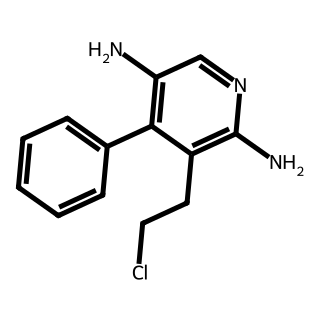 Nc1cnc(N)c(CCCl)c1-c1ccccc1